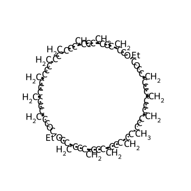 C=C1CCCC(=C)CCCC(=C)CCC(=C)CCCC(=C)CCCC(=C)CCCC(=C)CCO[C@@H](CC)COCCC(=C)CCCC(=C)CCCC(=C)CCCC(C)CCC(=C)CCCC(=C)CCCC(=C)CCCC(=C)CCO[C@@H](CC)COCCC(=C)CCC1